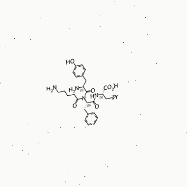 CC(C)C[C@H](NC(=O)[C@H](Cc1ccccc1)N(C(=O)CCCCN)C(=O)[C@@H](N)Cc1ccc(O)cc1)C(=O)O